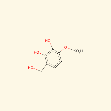 O=S(=O)(O)Oc1ccc(CO)c(O)c1O